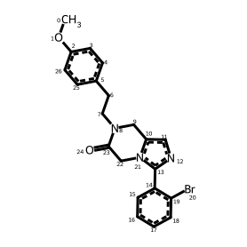 COc1ccc(CCN2Cc3cnc(-c4ccccc4Br)n3CC2=O)cc1